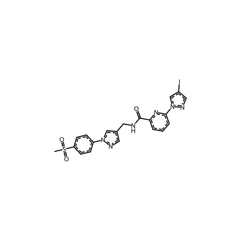 CS(=O)(=O)c1ccc(-n2cc(CNC(=O)c3cccc(-n4cc(I)cn4)n3)cn2)cc1